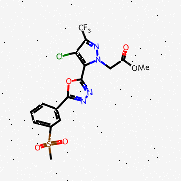 COC(=O)Cn1nc(C(F)(F)F)c(Cl)c1-c1nnc(-c2cccc(S(C)(=O)=O)c2)o1